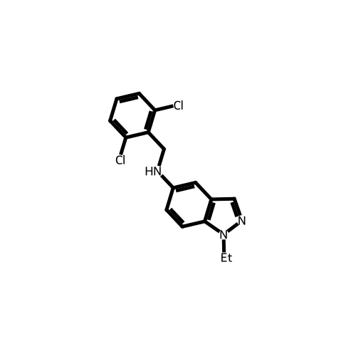 CCn1ncc2cc(NCc3c(Cl)cccc3Cl)ccc21